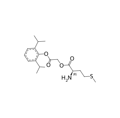 CSCC[C@@H](N)C(=O)OCC(=O)Oc1c(C(C)C)cccc1C(C)C